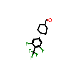 O=C[C@H]1CC[C@H](c2cc(F)c(C(F)(F)F)c(F)c2)CC1